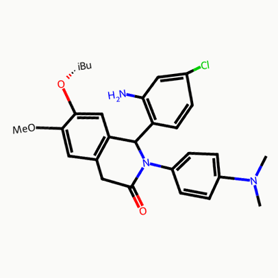 CC[C@@H](C)Oc1cc2c(cc1OC)CC(=O)N(c1ccc(N(C)C)cc1)C2c1ccc(Cl)cc1N